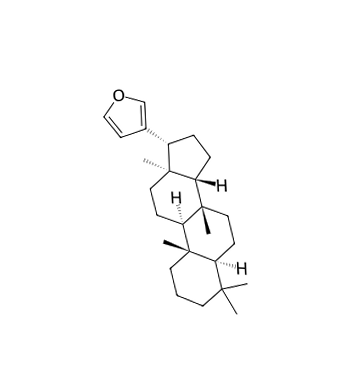 CC1(C)CCC[C@]2(C)[C@H]3CC[C@]4(C)[C@H](CC[C@H]4c4ccoc4)[C@]3(C)CC[C@@H]12